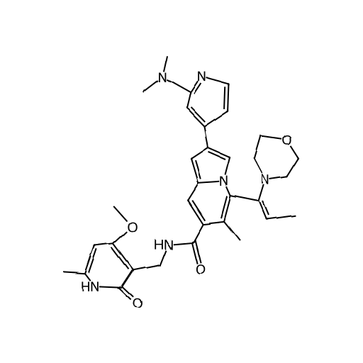 CC=C(c1c(C)c(C(=O)NCc2c(OC)cc(C)[nH]c2=O)cc2cc(-c3ccnc(N(C)C)c3)cn12)N1CCOCC1